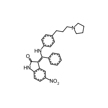 O=C1Nc2ccc([N+](=O)[O-])cc2/C1=C(/Nc1ccc(CCCN2CCCC2)cc1)c1ccccc1